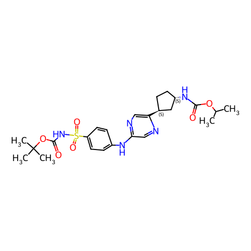 CC(C)OC(=O)N[C@H]1CC[C@H](c2cnc(Nc3ccc(S(=O)(=O)NC(=O)OC(C)(C)C)cc3)cn2)C1